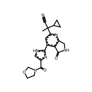 CC(C#N)(c1cc(-c2nc(C(=O)N3CCOC3)c[nH]2)c2c(n1)CNC2=O)C1CC1